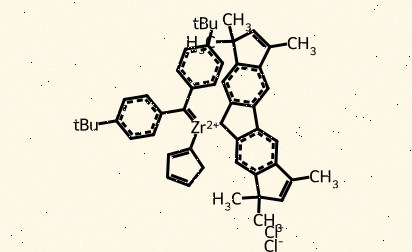 CC1=CC(C)(C)c2cc3c(cc21)-c1cc2c(cc1[CH]3[Zr+2]([C]1=CC=CC1)=[C](c1ccc(C(C)(C)C)cc1)c1ccc(C(C)(C)C)cc1)C(C)(C)C=C2C.[Cl-].[Cl-]